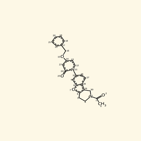 CC(=O)N1CCc2oc3cc(-n4ccc(OCc5ccccc5)cc4=O)ccc3c2C1